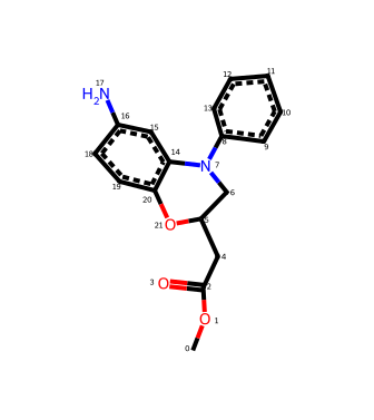 COC(=O)CC1CN(c2ccccc2)c2cc(N)ccc2O1